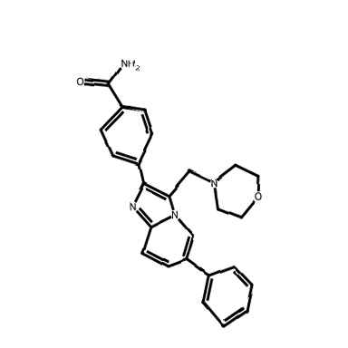 NC(=O)c1ccc(-c2nc3ccc(-c4ccccc4)cn3c2CN2CCOCC2)cc1